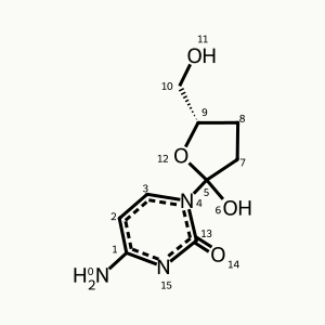 Nc1ccn(C2(O)CC[C@@H](CO)O2)c(=O)n1